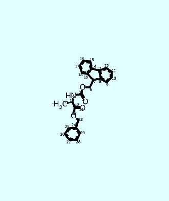 [CH2][C@@H](NC(=O)OCC1c2ccccc2-c2ccccc21)C(=O)OCc1ccccc1